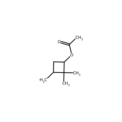 [CH2]C1CC(OC(C)=O)C1(C)C